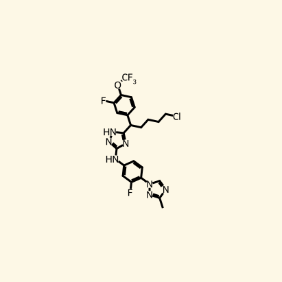 Cc1ncn(-c2ccc(Nc3n[nH]c(C(CCCCCl)c4ccc(OC(F)(F)F)c(F)c4)n3)cc2F)n1